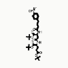 CC(C)(C)OC(=O)CCC(NC(=O)CC(NC(=O)CCCc1ccc([N+](=O)[O-])cc1)C(=O)OC(C)(C)C)C(=O)OC(C)(C)C